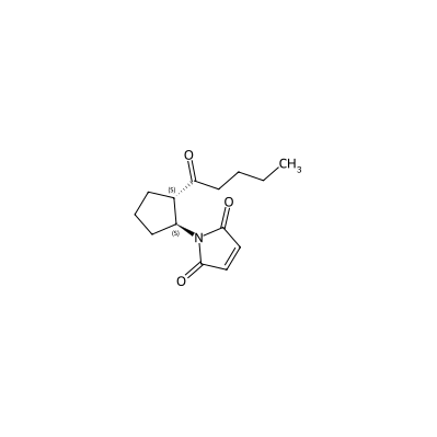 CCCCC(=O)[C@H]1CCC[C@@H]1N1C(=O)C=CC1=O